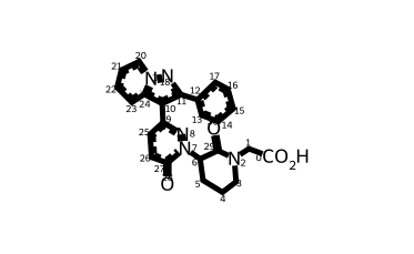 O=C(O)CN1CCCC(n2nc(-c3c(-c4ccccc4)nn4ccccc34)ccc2=O)C1=O